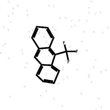 FC(F)(F)c1c2[c]cccc2cc2ccccc12